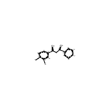 Cc1ccc(C(=O)CC(=O)c2ccccc2)cc1C